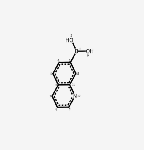 OB(O)c1ccc2cccnc2c1